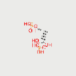 C=C.C=C.C=C.C=C.C=C.O=[PH](O)O.O=[PH](O)O.OCCO